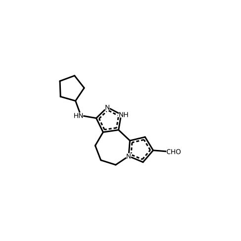 O=Cc1cc2n(c1)CCCc1c(NC3CCCC3)n[nH]c1-2